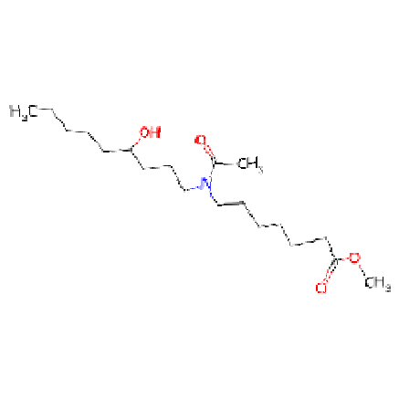 CCCCCC(O)CCCN(CCCCCCC(=O)OC)C(C)=O